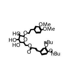 CCCCOc1ccc(/C=C/C(=O)OCC2OC(OCCc3ccc(OC)c(OC)c3)C(O)C(O)C2O)cc1OCCCC